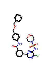 O=C(Nc1ccc(COCc2ccccc2)cc1)c1cccc(-c2cnc(Cl)c(NS(=O)(=O)N3CCOCC3)n2)c1